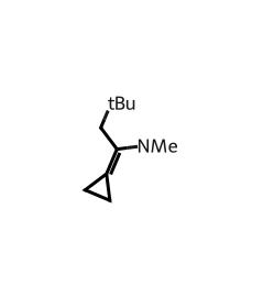 CNC(CC(C)(C)C)=C1CC1